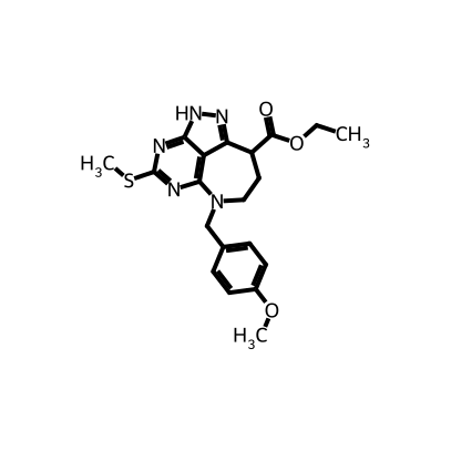 CCOC(=O)C1CCN(Cc2ccc(OC)cc2)c2nc(SC)nc3[nH]nc1c23